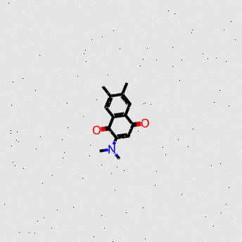 Cc1cc2c(cc1C)C(=O)C(N(C)C)=CC2=O